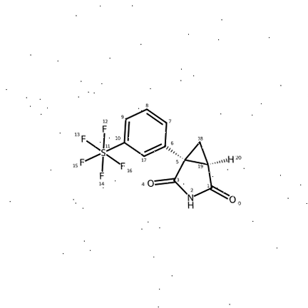 O=C1NC(=O)[C@@]2(c3cccc(S(F)(F)(F)(F)F)c3)C[C@@H]12